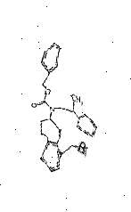 C[C@@H](c1ccccc1)N(C(=O)OCc1ccccc1)[C@@H]1CCc2cccc(Br)c2C1